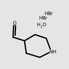 Br.Br.O.O=CC1CCNCC1